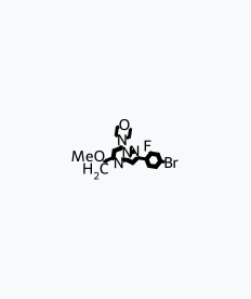 C=C(OC)c1cc(N2CCOCC2)n2nc(-c3ccc(Br)cc3F)cc2n1